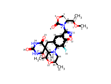 CO[C@@H](C)[C@H]1COC(=O)N1c1noc2c(F)c3c(cc12)CC1(C(=O)NC(=O)NC1=O)[C@H]1[C@H](C)O[C@H](C)CN31